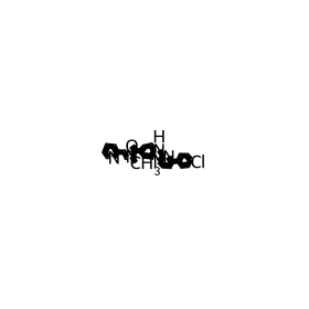 CN(CCc1ccccn1)C(=O)c1ccc(Nc2nccc(-c3ccc(Cl)cc3)n2)cc1